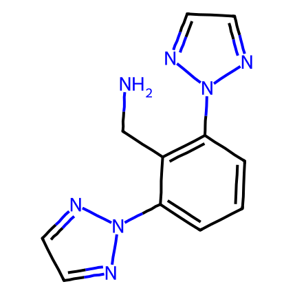 NCc1c(-n2nccn2)cccc1-n1nccn1